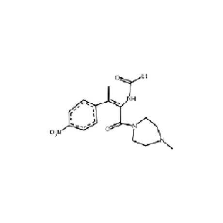 CCC(=O)N/C(C(=O)N1CCN(C)CC1)=C(\C)c1ccc([N+](=O)[O-])cc1